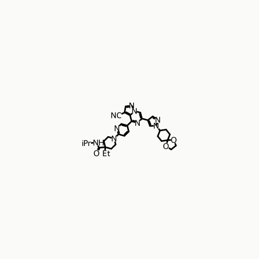 CCC1(C(=O)NC(C)C)CCN(c2ccc(-c3nc(-c4cnn(C5CCC6(CC5)OCCO6)c4)cn4ncc(C#N)c34)cn2)CC1